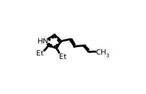 CC=CC=Cc1c[nH]c(CC)c1CC